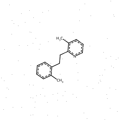 Cc1ccccc1CCc1ncccc1C